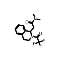 CN(C)C(=O)CC1c2ccccc2CCN1C(=O)C(F)(F)F